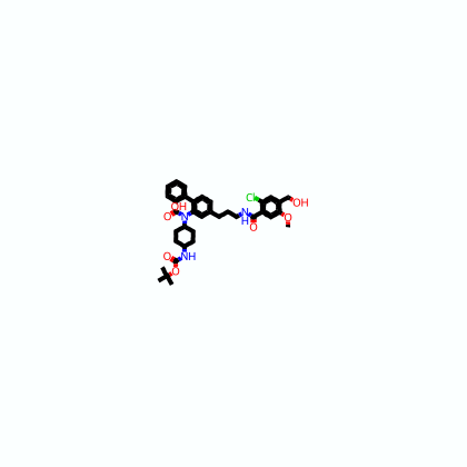 COc1cc(C(=O)NCCCc2ccc(-c3ccccc3)c(N(C(=O)O)C3CCC(NC(=O)OC(C)(C)C)CC3)c2)c(Cl)cc1CO